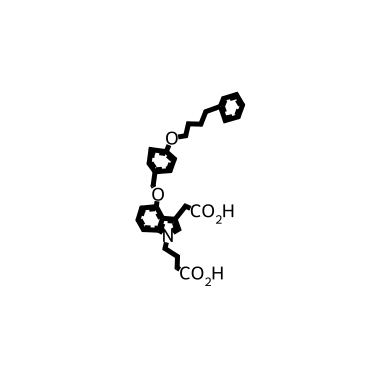 O=C(O)CCCn1cc(CC(=O)O)c2c(OCc3ccc(OCCCCc4ccccc4)cc3)cccc21